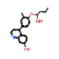 CCCC(O)Oc1ccc(-c2ccnc3cc(O)ccc23)cc1C